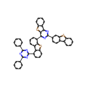 c1ccc(-c2nc(-c3ccccc3)nc(-c3cccc4sc5c(-c6nc(-c7ccc8c(c7)sc7ccccc78)nc7c6sc6ccccc67)cccc5c34)n2)cc1